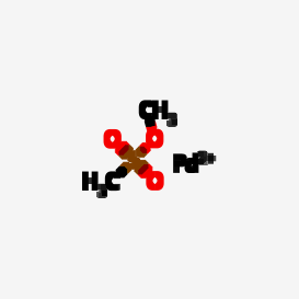 COS(C)(=O)=O.[Pd+2]